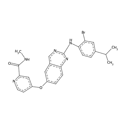 CNC(=O)c1cc(Oc2ccc3nc(Nc4ccc(C(C)C)cc4Br)ncc3c2)ccn1